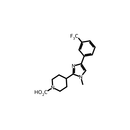 Cn1cc(-c2cccc(C(F)(F)F)c2)nc1C1CCN(C(=O)O)CC1